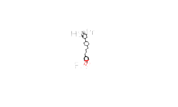 CCC[SiH]1CCC(C2CCC(CCCCc3ccc(OC(F)(F)F)cc3)CC2)CC1